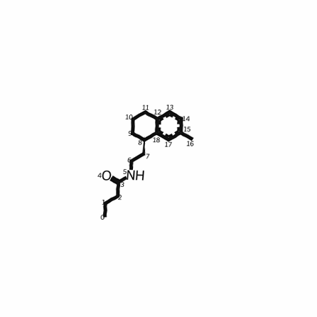 CCCC(=O)NCC[C@H]1CCCc2ccc(C)cc21